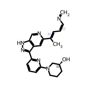 C=N/C=C\C=C(/C)c1cc2c(-c3cccc(N4CCC[C@H](O)C4)n3)n[nH]c2cn1